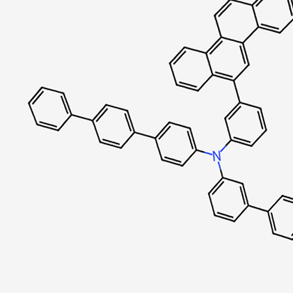 c1ccc(-c2ccc(-c3ccc(N(c4cccc(-c5ccccc5)c4)c4cccc(-c5cc6c7ccccc7ccc6c6ccccc56)c4)cc3)cc2)cc1